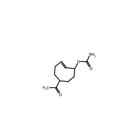 CC(=O)C1CC/C=C/C(OC(N)=O)CC1